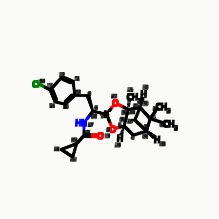 CC1(C)[C@@H]2C[C@H]3OB([C@H](Cc4ccc(Cl)cc4)NC(=O)C4CC4)O[C@@]3(C)[C@H]1C2